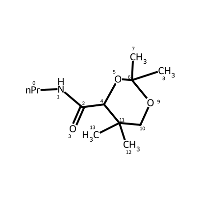 CCCNC(=O)C1OC(C)(C)OCC1(C)C